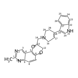 Cc1ncc2c3c(ccc2n1)OCC(CN1CC=C(c2c[nH]c4ccccc24)CC1)O3